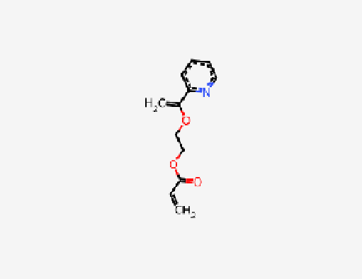 C=CC(=O)OCCOC(=C)c1ccccn1